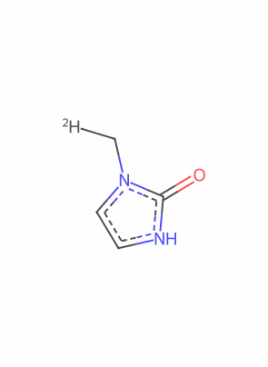 [2H]Cn1cc[nH]c1=O